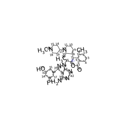 Cc1ccccc1/C(C1=CCCN(C2CCN(C)CC2)C1)=C(\OC=O)C(C)n1nc(-c2cc(O)cc(F)c2)c2c(N)ncnc21